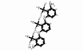 Nc1cccc(Oc2cccc(Oc3cccc(N)c3C(F)(F)F)c2C(F)(F)F)c1C(F)(F)F